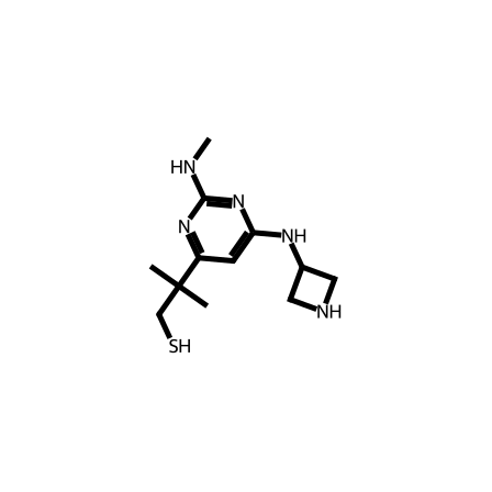 CNc1nc(NC2CNC2)cc(C(C)(C)CS)n1